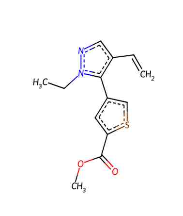 C=Cc1cnn(CC)c1-c1csc(C(=O)OC)c1